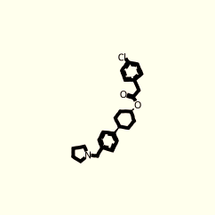 O=C(Cc1ccc(Cl)cc1)O[C@H]1CC[C@H](c2ccc(CN3CCCC3)cc2)CC1